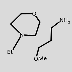 CCN1CCOCC1.COCCCN